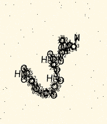 N#Cc1cccc2c1cc1n2C(F)(F)C2(CCN(C(=O)[C@H]3CC(=O)Nc4ccc(OCCNC(=O)C5CCC(C(=O)N6CCN(CC7CCN(c8ccc(C9CCC(=O)NC9=O)cc8)CC7)CC6)CC5)cc43)CC2)Oc2ccccc2-1